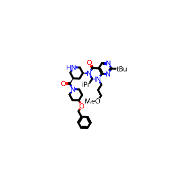 COCCCNc1nc(C(C)(C)C)ncc1C(=O)N(CC(C)C)[C@@H]1CNC[C@H](C(=O)N2CCC(OCc3ccccc3)CC2)C1